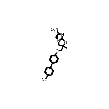 CC1(COc2ccc(-c3ccc(C#N)cc3)cc2)Cn2cc([N+](=O)[O-])nc2O1